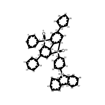 O=P1(c2ccccc2)c2cc(-c3ccccc3)cc3c2-c2c1cc(-c1ccccc1)cc2P3(=O)c1ccc(-n2c3ccccc3c3ccccc32)cc1